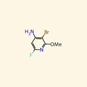 COc1nc(F)cc(N)c1Br